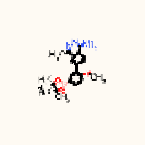 COc1ccc(B2OC(C)(C)C(C)(C)O2)cc1-c1ccc2c(N)nnc(C)c2c1